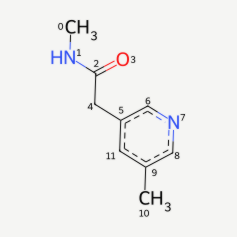 CNC(=O)Cc1cncc(C)c1